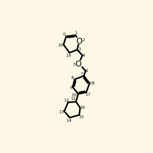 C1=COC(COCc2ccc(C3CCCCC3)cc2)CC1